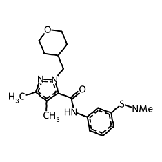 CNSc1cccc(NC(=O)c2c(C)c(C)nn2CC2CCOCC2)c1